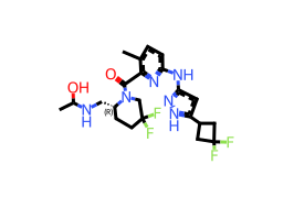 Cc1ccc(Nc2cc(C3CC(F)(F)C3)[nH]n2)nc1C(=O)N1CC(F)(F)CC[C@@H]1CNC(C)O